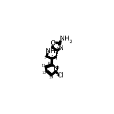 NCC(C[C@H]1COC(N)=N1)c1cccc(Cl)n1